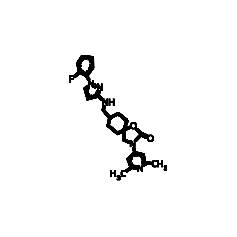 Cc1cc(N2CC3(CCC(CNc4ccn(-c5ccccc5F)n4)CC3)OC2=O)cc(C)n1